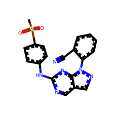 CS(=O)(=O)c1ccc(Nc2ncc3cnn(-c4ccccc4C#N)c3n2)cc1